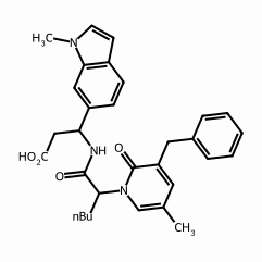 CCCCC(C(=O)NC(CC(=O)O)c1ccc2ccn(C)c2c1)n1cc(C)cc(Cc2ccccc2)c1=O